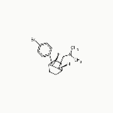 CN(C)C[C@@H]1C2CCC(CC2)[C@@H]1c1ccc(Br)cc1